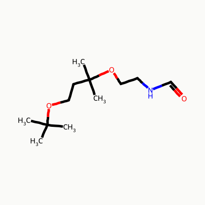 CC(C)(C)OCCC(C)(C)OCCNC=O